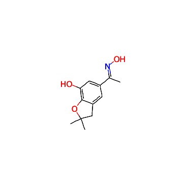 C/C(=N\O)c1cc(O)c2c(c1)CC(C)(C)O2